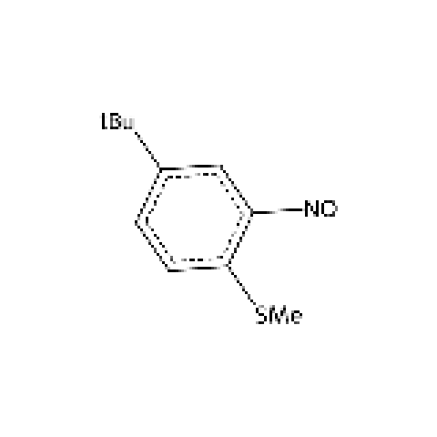 CSc1ccc(C(C)(C)C)cc1N=O